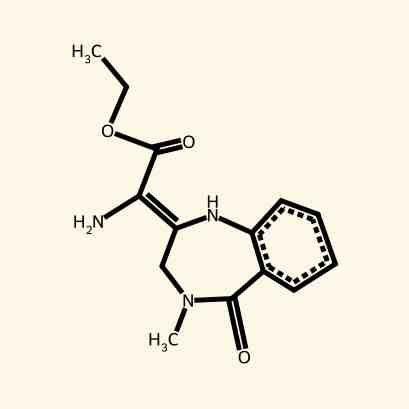 CCOC(=O)C(N)=C1CN(C)C(=O)c2ccccc2N1